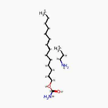 CCCCCCCCCCCCCCOC(N)=O.CCCN